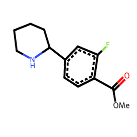 COC(=O)c1ccc(C2CCCCN2)cc1F